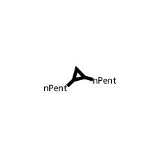 CCCCCC1CC1CCCCC